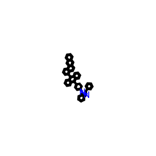 C1=C(c2c3ccccc3c(-c3cccc4c3ccc3cc5ccccc5cc34)c3ccccc23)CCC(n2c(-c3ccccc3)nc3ccccc32)=C1